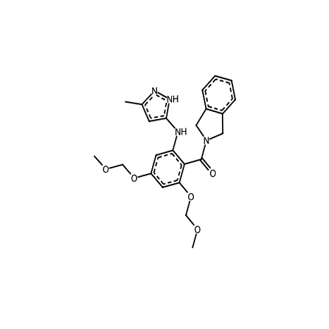 COCOc1cc(Nc2cc(C)n[nH]2)c(C(=O)N2Cc3ccccc3C2)c(OCOC)c1